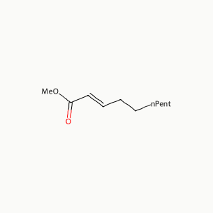 CCCCCCC/C=C/C(=O)OC